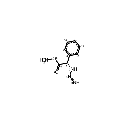 N=NN[C@H](C(=O)ON)c1ccccc1